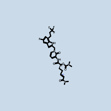 CN(C)C(=O)/C=C/CC[C@H](OC(=O)N(C)C)C(=O)Nc1cccn(Cc2cc3cc(F)cc(CCC(F)(F)F)c3[nH]2)c1=O